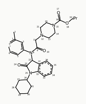 C=C(C)/C=C(\C=C/C)N(C(=O)CN1CCN(C(=O)OC(C)C)CC1)C1C(=O)N(C2CCCCC2)c2ccccc21